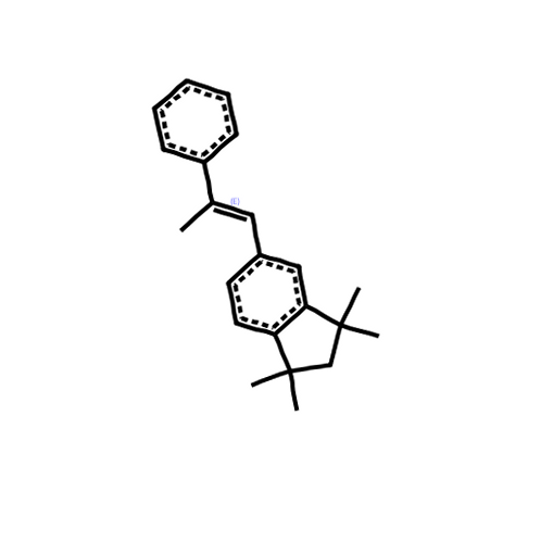 C/C(=C\c1ccc2c(c1)C(C)(C)CC2(C)C)c1ccccc1